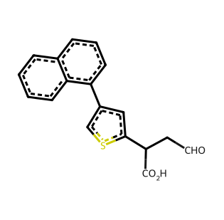 O=CCC(C(=O)O)c1cc(-c2cccc3ccccc23)cs1